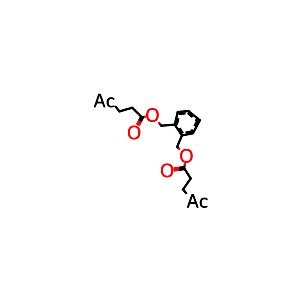 CC(=O)CCC(=O)OCc1ccccc1COC(=O)CCC(C)=O